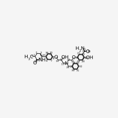 CC1CC=C(c2ccc(OCC(O)CN(CCOc3ccc(O)c(C(N)=O)c3)Cc3ccccc3)cc2)NC1=O